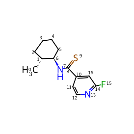 C[C@@H]1CCCC[C@H]1NC(=S)c1ccnc(F)c1